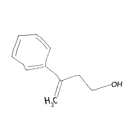 C=C(CCO)c1ccccc1